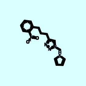 O=[N+]([O-])c1ccccc1CCCc1cn(C[SH]2C=CC=C2)nn1